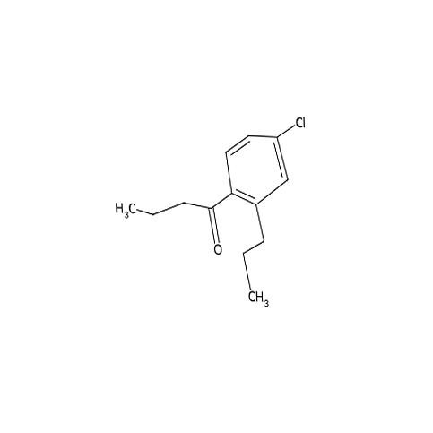 CCCC(=O)c1ccc(Cl)cc1CCC